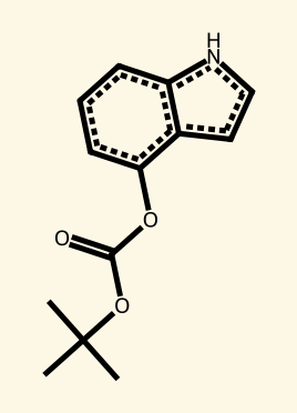 CC(C)(C)OC(=O)Oc1cccc2[nH]ccc12